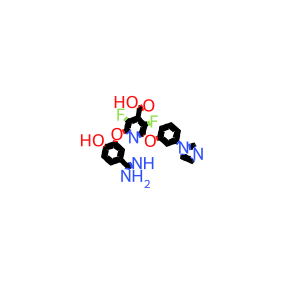 N=C(N)c1ccc(O)c(Oc2nc(Oc3cccc(-n4ccnc4)c3)c(F)c(C(=O)O)c2F)c1